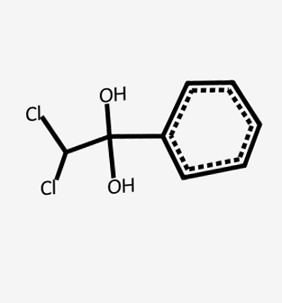 OC(O)(c1ccccc1)C(Cl)Cl